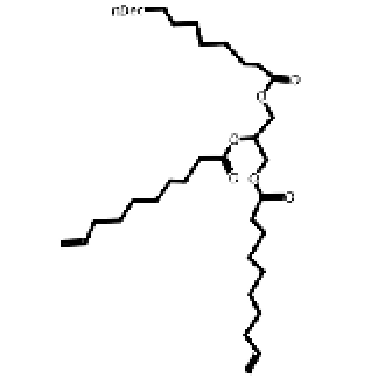 C=CCCCCCCCC(=O)OCC(COC(=O)CCCCCCCCCCCCCCCCC)OC(=O)CCCCCCCC=C